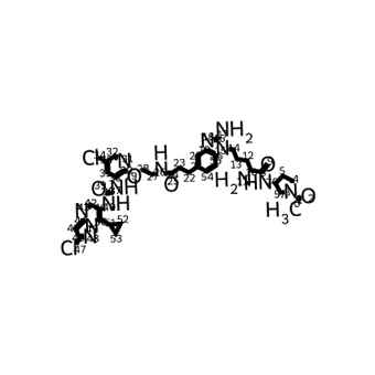 CC(=O)N1CC[C@@H](NC(=O)[C@@H](N)CCCn2c(N)nc3cc(CCC(=O)NCCOc4ncc(Cl)cc4NC(=O)Nc4cnc5cc(Cl)nn5c4C4CC4)ccc32)C1